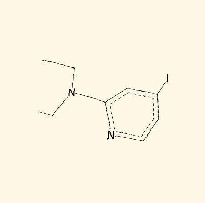 CCN(CC)c1cc(I)ccn1